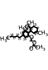 C=C(C)C1CCC(C)=CC1c1c(O)cc(CCCCC)cc1OCOC(C)=O